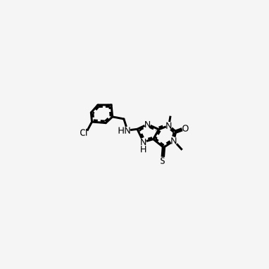 Cn1c(=S)c2[nH]c(NCc3cccc(Cl)c3)nc2n(C)c1=O